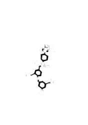 N#Cc1cc(Cl)cc(Oc2ccc(C(=O)Nc3ccc(S(N)(=O)=O)cc3)cc2Cl)c1